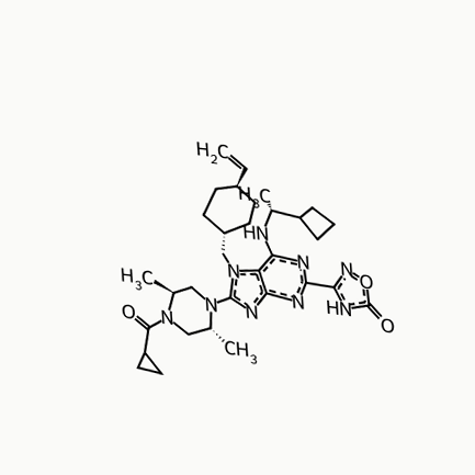 C=C[C@H]1CC[C@H](Cn2c(N3C[C@H](C)N(C(=O)C4CC4)C[C@H]3C)nc3nc(-c4noc(=O)[nH]4)nc(N[C@H](C)C4CCC4)c32)CC1